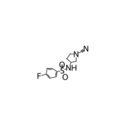 N#CN1CCC(NS(=O)(=O)c2ccc(F)cc2)C1